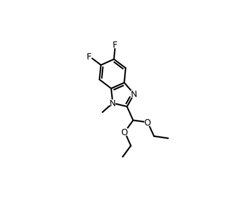 CCOC(OCC)c1nc2cc(F)c(F)cc2n1C